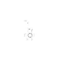 CC(C)C(C)(C)COC(=O)Cc1c(F)c(F)c(F)c(F)c1F